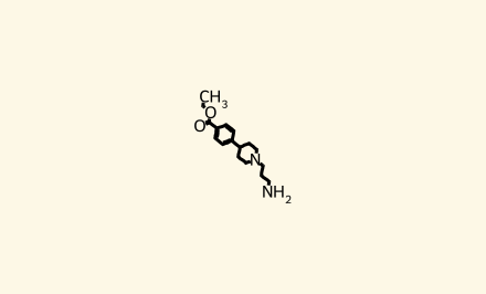 CCOC(=O)c1ccc(C2CCN(CCCN)CC2)cc1